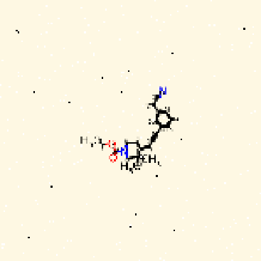 CCOC(=O)N1CC/C(=C\C#Cc2cccc(CC#N)c2)C(C)(C)C1